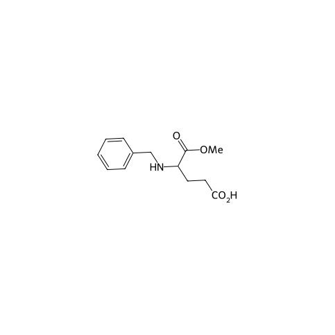 COC(=O)C(CCC(=O)O)NCc1ccccc1